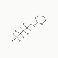 FC(F)(F)C(F)(F)C(F)(F)C(F)(F)COC1CCCCO1